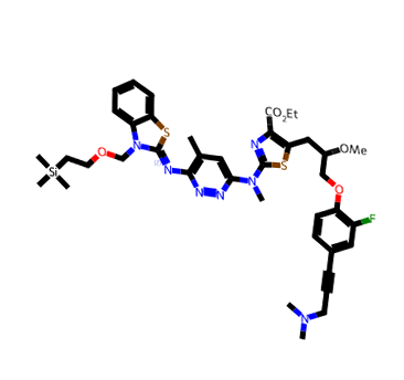 CCOC(=O)c1nc(N(C)c2cc(C)c(/N=c3\sc4ccccc4n3COCC[Si](C)(C)C)nn2)sc1CC(COc1ccc(C#CCN(C)C)cc1F)OC